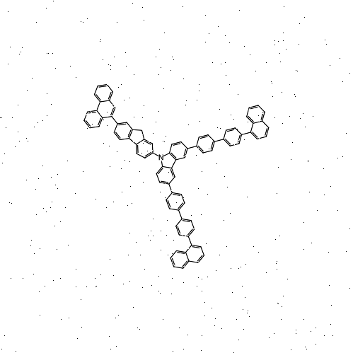 c1ccc2c(-c3ccc(-c4ccc(-c5ccc6c(c5)c5cc(-c7ccc(-c8ccc(-c9cccc%10ccccc9%10)cc8)cc7)ccc5n6-c5ccc6c(c5)Cc5cc(-c7cc8ccccc8c8ccccc78)ccc5-6)cc4)cc3)cccc2c1